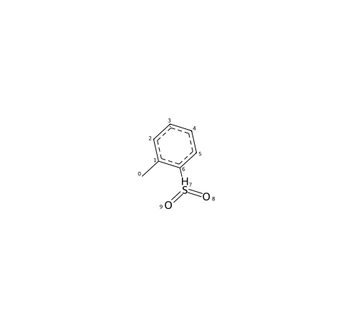 Cc1c[c]ccc1[SH](=O)=O